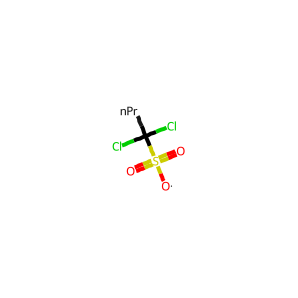 CCCC(Cl)(Cl)S([O])(=O)=O